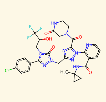 CC1(NC(=O)c2cccnc2-n2nc(Cn3nc(-c4ccc(Cl)cc4)n(C[C@H](O)C(F)(F)F)c3=O)nc2C(=O)N2CCNC(=O)C2)CC1